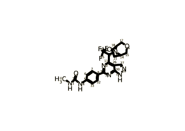 CNC(=O)Nc1ccc(-c2nc(C(N3C4COCC3C(O)C4)C(F)(F)F)c3cn[nH]c3n2)cc1